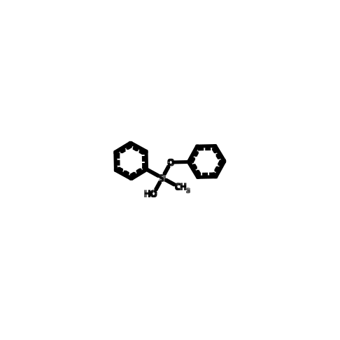 C[Si](O)(Oc1ccccc1)c1ccccc1